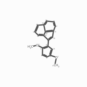 COc1ccc(OC)c(C2=Cc3cccc4cccc2c34)c1